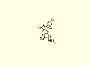 CN(C(=O)c1ccc2nc(N)c3cncn3c2c1)[C@@H]1COc2cc(Cl)ccc21